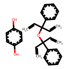 C=CC(C=C)(OC(C=C)(C=C)c1ccccc1)c1ccccc1.Oc1ccc(O)cc1